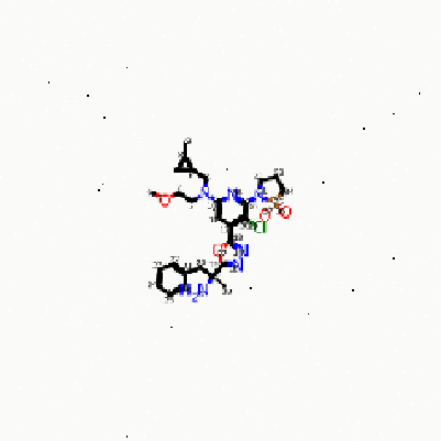 COCCN(CC1CC1C)c1cc(-c2nnc([C@](C)(N)Cc3ccccc3)o2)c(Cl)c(N2CCCS2(=O)=O)n1